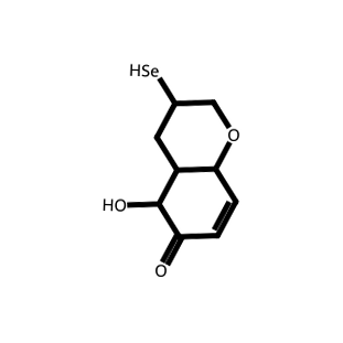 O=C1C=CC2OCC([SeH])CC2C1O